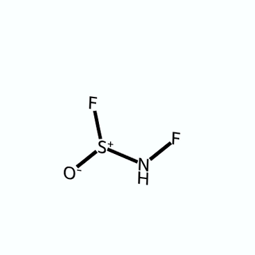 [O-][S+](F)NF